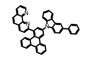 c1ccc(-c2ccc3c(c2)c2ccccc2n3-c2cc(-c3ccc4ccc5cccnc5c4n3)c3c4ccccc4c4ccccc4c3c2)cc1